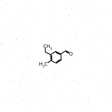 CCc1cc(C=O)ccc1C